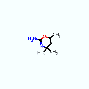 CC1CC(C)(C)N=C(N)O1